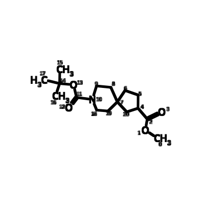 COC(=O)C1CCC2(CCN(C(=O)OC(C)(C)C)CC2)C1